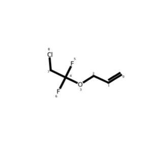 C=CCOC(F)(F)CCl